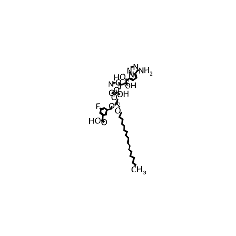 CCCCCCCCCCCCCCCCCCOC[C@H](COP(=O)(O)OC[C@@H](OC#N)[C@@H](O)[C@@H](O)c1ccc2c(N)ncnn12)OCc1cc(F)cc(C(=O)O)c1